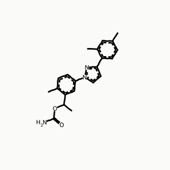 Cc1ccc(-c2ccn(-c3ccc(C)c(C(C)OC(N)=O)c3)n2)c(C)c1